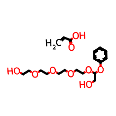 C=CC(=O)O.OCCOCCOCCOCCOC(CO)Oc1ccccc1